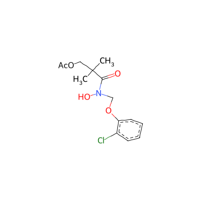 CC(=O)OCC(C)(C)C(=O)N(O)COc1ccccc1Cl